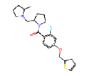 CC1CCCN1CC1CCCN1C(=O)c1ccc(OCC2CC=CS2)cc1F